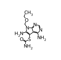 CCOCn1c(N)c(SC(N)=O)c2c(N)ncnc21